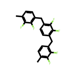 Cc1ccc(Cc2ccc(Cc3ccc(C)c(F)c3F)c(F)c2F)c(F)c1F